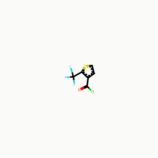 O=C(Cl)c1ccsc1C(F)(F)F